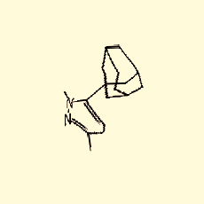 Cc1cc(C23CC4CC(CC(C4)C2)C3)n(C)n1